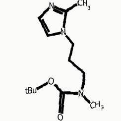 Cc1nccn1CCCN(C)C(=O)OC(C)(C)C